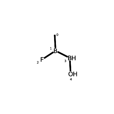 CB(F)BO